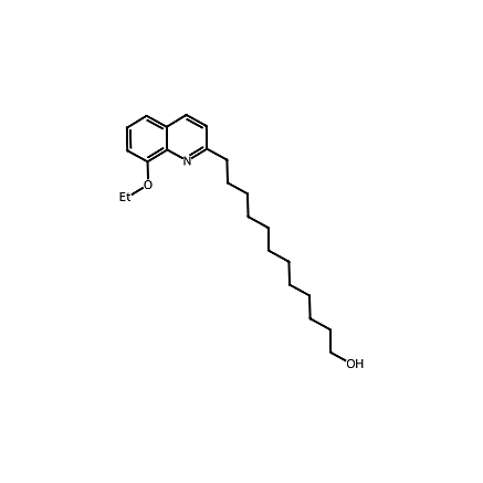 CCOc1cccc2ccc(CCCCCCCCCCCCO)nc12